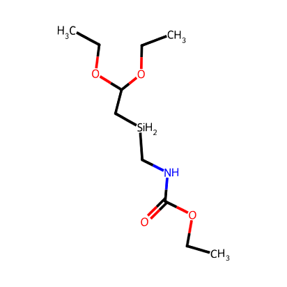 CCOC(=O)NC[SiH2]CC(OCC)OCC